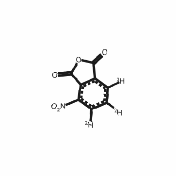 [2H]c1c([2H])c2c(c([N+](=O)[O-])c1[2H])C(=O)OC2=O